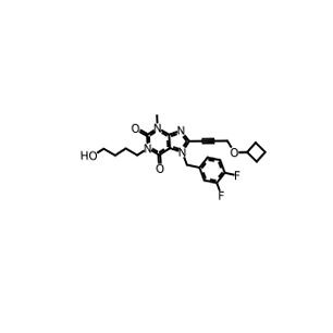 Cn1c(=O)n(CCCCO)c(=O)c2c1nc(C#CCOC1CCC1)n2Cc1ccc(F)c(F)c1